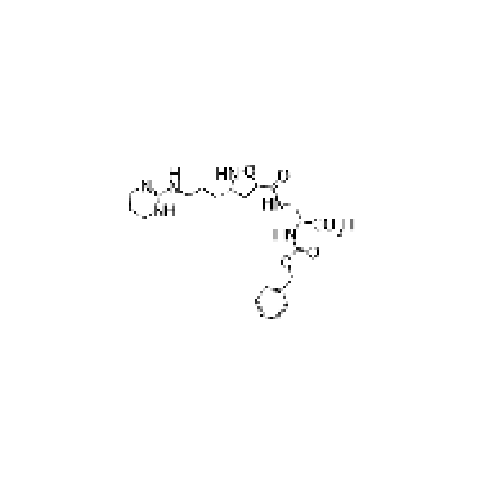 O=C(N[C@@H](CNC(=O)[C@H]1C[C@H](CCCNC2=NCCCN2)NO1)C(=O)O)OCc1ccccc1